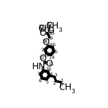 CCCCc1cccc(NC(=O)Oc2cccc(OCC(OC)OC)c2)c1